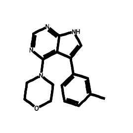 Cc1cccc(-c2c[nH]c3ncnc(N4CCOCC4)c23)c1